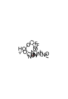 C=CC(=O)N1CCN(c2nc(=O)n3c4nc(c(F)cc24)-c2c(F)cccc2OCC(O)C(OCC2CC2)c2ccnc(C(C)C)c2-3)[C@@H](C)C1